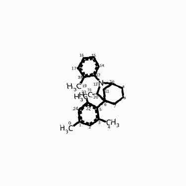 Cc1cc(C)c(C23CCCC(C2)N(c2ccccc2C)[C@H]3C)c(C)c1